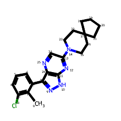 Cc1c(Cl)cccc1-c1n[nH]c2nc(N3CCC4(CCCC4)CC3)cnc12